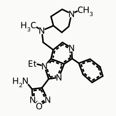 CCn1c(-c2nonc2N)nc2c(-c3ccccc3)ncc(CN(C)C3CCN(C)CC3)c21